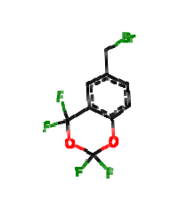 FC1(F)Oc2ccc(CBr)cc2C(F)(F)O1